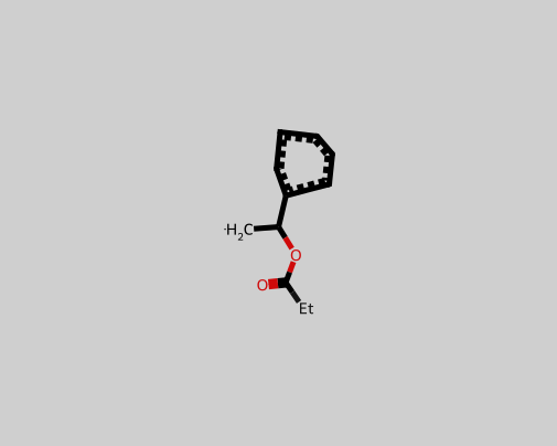 [CH2]C(OC(=O)CC)c1ccccc1